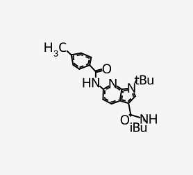 CC[C@H](C)NC(=O)c1cn(C(C)(C)C)c2nc(NC(=O)c3ccc(C)cc3)ccc12